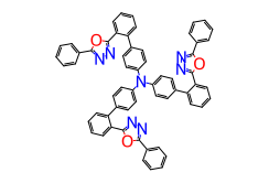 c1ccc(-c2nnc(-c3ccccc3-c3ccc(N(c4ccc(-c5ccccc5-c5nnc(-c6ccccc6)o5)cc4)c4ccc(-c5ccccc5-c5nnc(-c6ccccc6)o5)cc4)cc3)o2)cc1